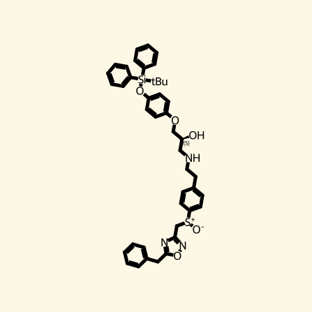 CC(C)(C)[Si](Oc1ccc(OC[C@@H](O)CNCCc2ccc([S+]([O-])Cc3noc(Cc4ccccc4)n3)cc2)cc1)(c1ccccc1)c1ccccc1